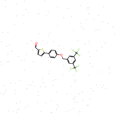 O=Cc1ccc(-c2ccc(OCc3cc(C(F)(F)F)cc(C(F)(F)F)c3)cc2)s1